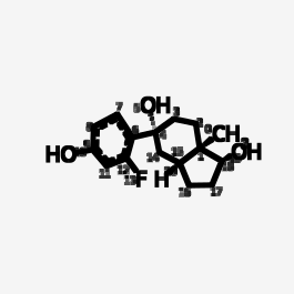 C[C@]12CC[C@](O)(c3ccc(O)cc3F)C[C@H]1CC[C@@H]2O